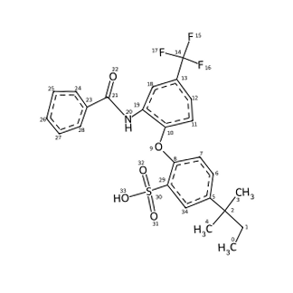 CCC(C)(C)c1ccc(Oc2ccc(C(F)(F)F)cc2NC(=O)c2ccccc2)c(S(=O)(=O)O)c1